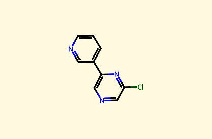 Clc1cncc(-c2cccnc2)n1